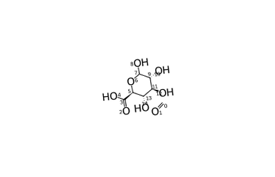 C=O.O=C(O)[C@H]1OC(O)[C@H](O)[C@@H](O)[C@@H]1O